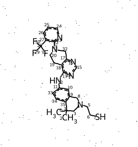 CC1(C)CN(CCS)Cc2cc(Nc3ncnc4c3CCN(c3ncccc3C(F)(F)F)C4)ccc21